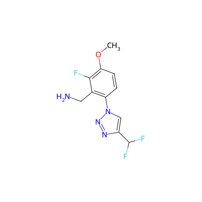 COc1ccc(-n2cc(C(F)F)nn2)c(CN)c1F